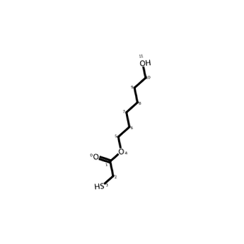 O=C(CS)OCCCCCCO